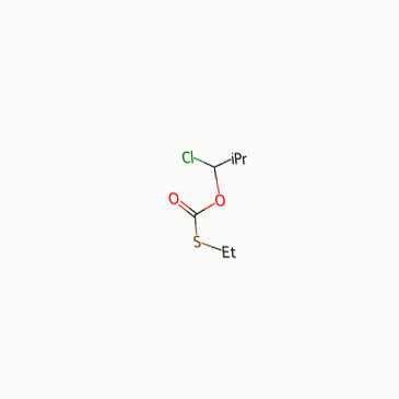 CCSC(=O)OC(Cl)C(C)C